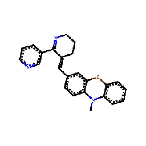 CN1c2ccccc2Sc2cc(C=C3CCCN=C3c3cccnc3)ccc21